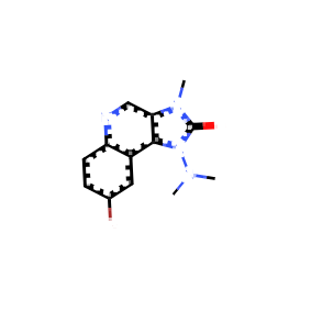 CN(C)n1c(=O)n(C)c2cnc3ccc(Br)cc3c21